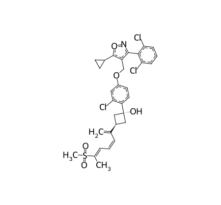 C=C(/C=C\C=C(/C)S(C)(=O)=O)[C@H]1C[C@@](O)(c2ccc(OCc3c(-c4c(Cl)cccc4Cl)noc3C3CC3)cc2Cl)C1